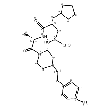 Cc1ccc(CNC2CCN(C(=O)[C@@H](NC(=O)[C@H](CC3CCCC3)CN(O)C=O)C(C)(C)C)CC2)cc1